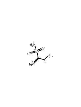 CSC(=N)S(N)(=O)=O